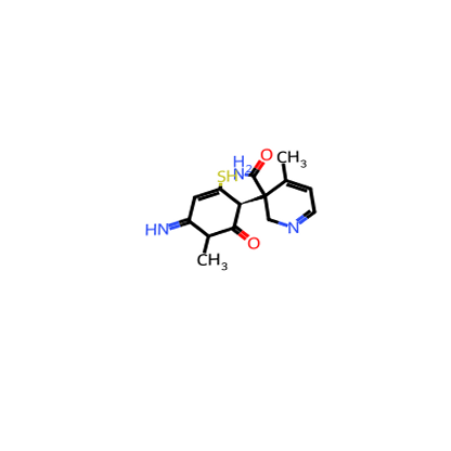 CC1=CC=NCC1(C(N)=O)[C@H]1C(=O)C(C)C(=N)C=C1S